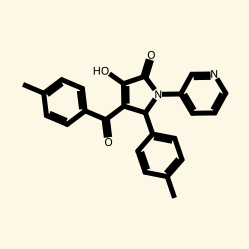 Cc1ccc(C(=O)C2=C(O)C(=O)N(c3cccnc3)C2c2ccc(C)cc2)cc1